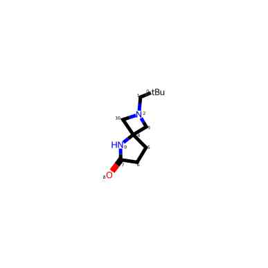 CC(C)(C)CN1CC2(CCC(=O)N2)C1